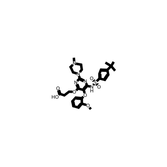 COc1ccccc1Oc1c(NS(=O)(=O)c2ccc(C(C)(C)C)cc2)nc(N2CCN(C)CC2)nc1OCCC(=O)O